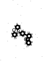 c1ccc2c(c1)Oc1ccccc1N2c1ccc(-c2cccc3c2oc2ccccc23)cc1